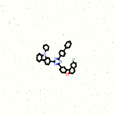 Clc1ccc2ccc3oc4ccc(-c5nc(-c6ccc(-c7ccccc7)cc6)nc(-c6ccc7c8ccccc8n(-c8ccccc8)c7c6)n5)cc4c3c2c1